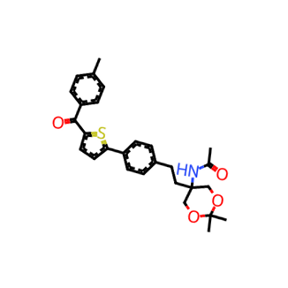 CC(=O)NC1(CCc2ccc(-c3ccc(C(=O)c4ccc(C)cc4)s3)cc2)COC(C)(C)OC1